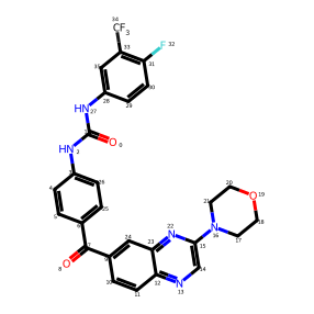 O=C(Nc1ccc(C(=O)c2ccc3ncc(N4CCOCC4)nc3c2)cc1)Nc1ccc(F)c(C(F)(F)F)c1